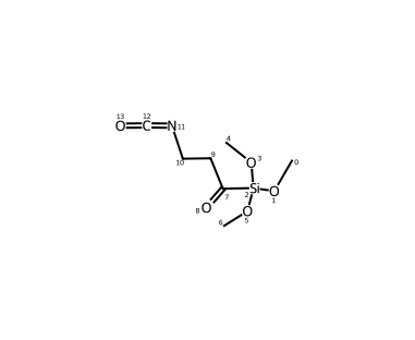 CO[Si](OC)(OC)C(=O)CCN=C=O